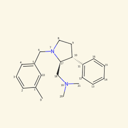 Cc1cccc(CN2CC[C@H](c3ccccc3)[C@H]2CN(C)C)c1